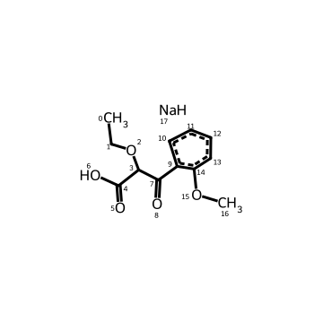 CCOC(C(=O)O)C(=O)c1ccccc1OC.[NaH]